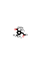 C=C.CCC(=O)Cc1cccc(C(=O)OC)c1[N+](=O)[O-]